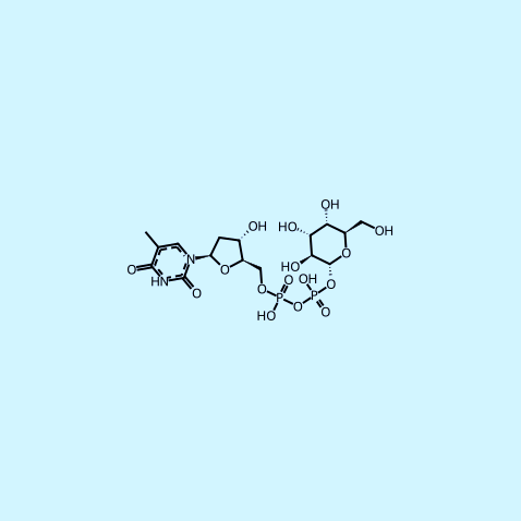 Cc1cn([C@H]2C[C@H](O)[C@@H](COP(=O)(O)OP(=O)(O)O[C@H]3O[C@H](CO)[C@@H](O)[C@@H](O)[C@@H]3O)O2)c(=O)[nH]c1=O